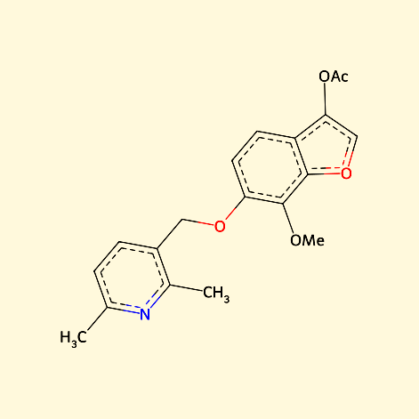 COc1c(OCc2ccc(C)nc2C)ccc2c(OC(C)=O)coc12